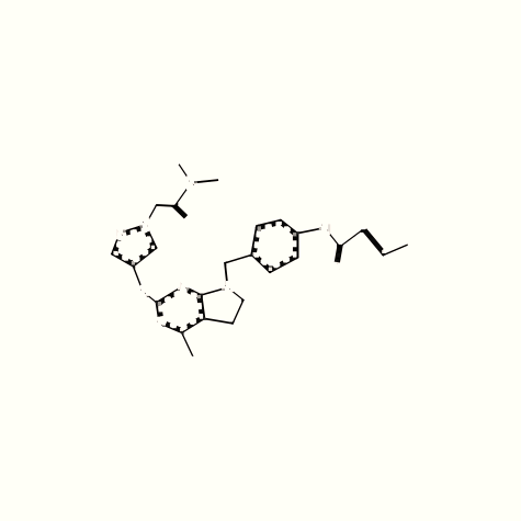 C/C=C/C(=O)Nc1ccc(CN2CCc3c(C)nc(Nc4cnn(CC(=O)N(C)C)c4)nc32)cc1